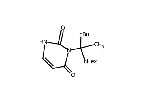 CCCCCCC(C)(CCCC)n1c(=O)cc[nH]c1=O